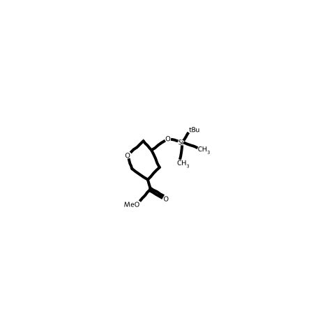 COC(=O)C1COCC(O[Si](C)(C)C(C)(C)C)C1